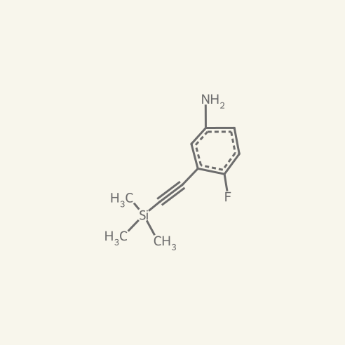 C[Si](C)(C)C#Cc1cc(N)ccc1F